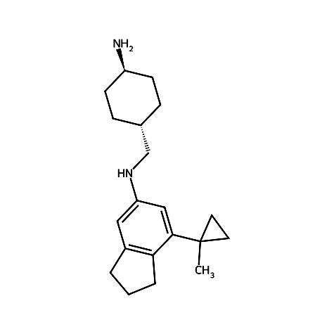 CC1(c2cc(NC[C@H]3CC[C@H](N)CC3)cc3c2CCC3)CC1